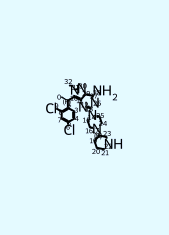 C[C@H](c1ccc(Cl)cc1Cl)c1c2nc(N3CCN([C@H]4CCCNC4)CC3)nc(N)c2nn1C